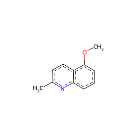 COc1cccc2nc(C)ccc12